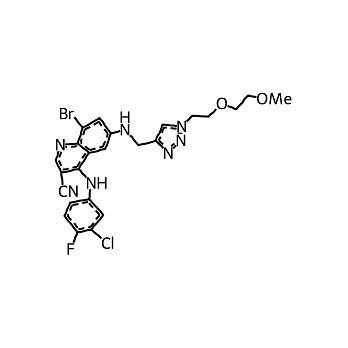 COCCOCCn1cc(CNc2cc(Br)c3ncc(C#N)c(Nc4ccc(F)c(Cl)c4)c3c2)nn1